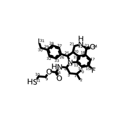 CC(C)CC(NC(=O)OCCS)N1c2cc(F)cc3c2C(CNC3=O)C1c1ccc(CI)cc1